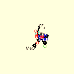 COc1ccc(CO[C@@H]2C[C@@H](C(=O)N[C@H](C(=O)C(F)(F)C(=O)CCCCC(F)(F)F)C(C)C)N(C(=O)[C@H](Cc3cccc(Cl)c3)NC(=O)c3ccccn3)C2)cc1